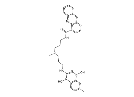 Cc1ccc2c(c1)N(O)N=C(NCCCN(C)CCCNC(=O)c1cccc3nc4ccccc4nc13)N2O